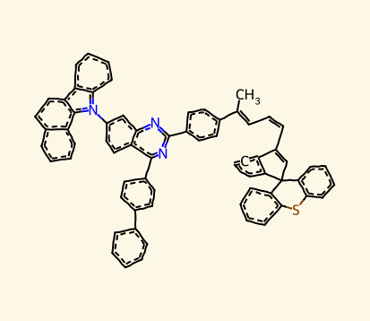 C/C(=C\C=C/C1=CC2(c3ccccc3Sc3ccccc32)c2ccccc21)c1ccc(-c2nc(-c3ccc(-c4ccccc4)cc3)c3ccc(-n4c5ccccc5c5ccc6ccccc6c54)cc3n2)cc1